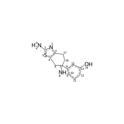 Nc1nc2c(s1)CC(N)(c1cccc(O)c1)CC2